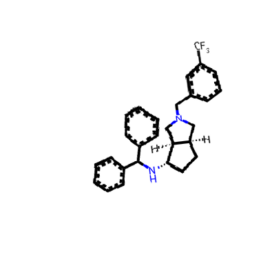 FC(F)(F)c1cccc(CN2C[C@H]3CC[C@H](NC(c4ccccc4)c4ccccc4)[C@H]3C2)c1